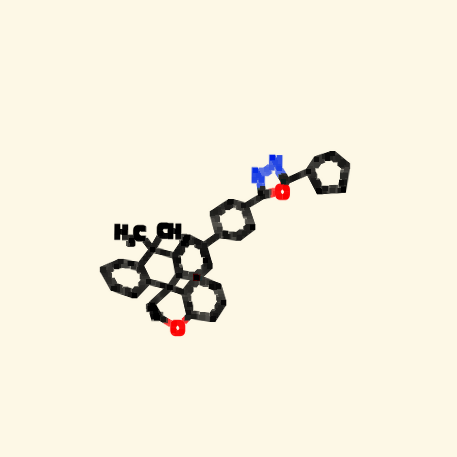 CC1(C)c2ccccc2C2(c3ccccc3Oc3ccccc32)c2ccc(-c3ccc(-c4nnc(-c5ccccc5)o4)cc3)cc21